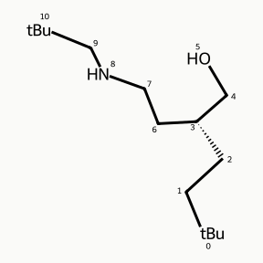 CC(C)(C)CC[C@@H](CO)CCNCC(C)(C)C